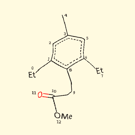 CCc1cc(C)cc(CC)c1CC(=O)OC